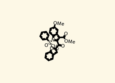 C=S(=O)(c1ccccc1)n1c(C(=O)c2cc3ccccc3o2)c(C(=O)OC)c2cc(OC)ccc21